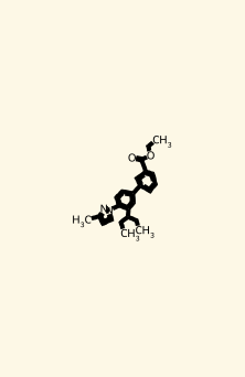 CCOC(=O)c1cccc(-c2ccc(-n3ccc(C)n3)c(C(CC)CC)c2)c1